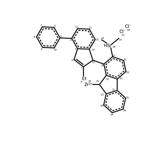 CCC1=Cc2c(-c3ccccc3)cccc2C1c1c([SiH](C)C)ccc2c1[CH]([Zr+2])c1ccccc1-2.[Cl-].[Cl-]